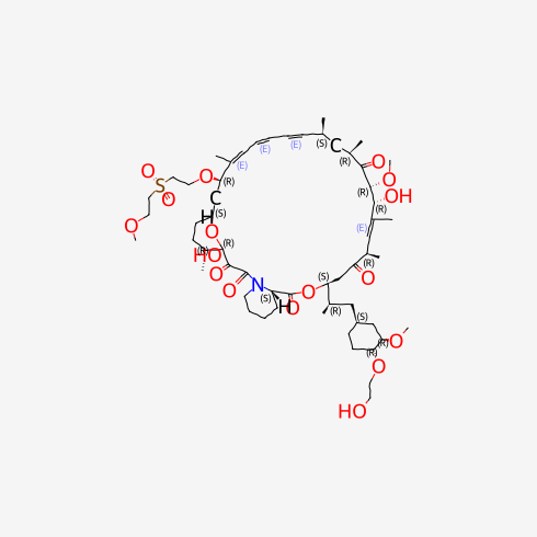 COCCS(=O)(=O)CCO[C@@H]1C[C@@H]2CC[C@@H](C)[C@@](O)(O2)C(=O)C(=O)N2CCCC[C@H]2C(=O)O[C@H]([C@H](C)C[C@@H]2CC[C@@H](OCCO)[C@H](OC)C2)CC(=O)[C@H](C)/C=C(\C)[C@@H](O)[C@@H](OC)C(=O)[C@H](C)C[C@H](C)/C=C/C=C/C=C/1C